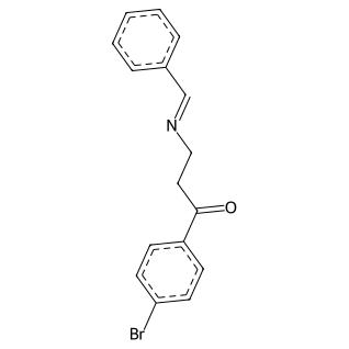 O=C(CC/N=C/c1ccccc1)c1ccc(Br)cc1